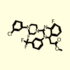 COC(=O)CC1c2cccc(F)c2N=C(N2CCN(c3cccc(Cl)c3)CC2)N1c1cccc(C(F)(F)F)c1